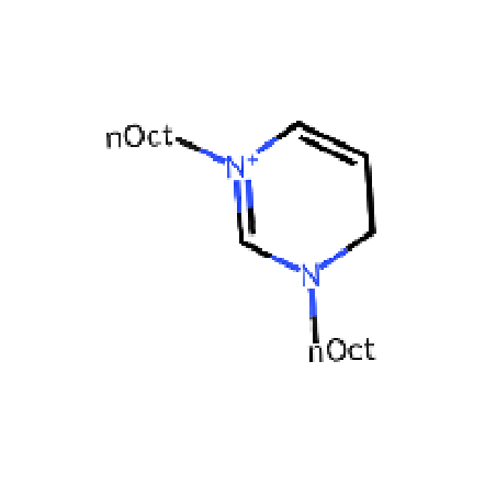 CCCCCCCCN1C=[N+](CCCCCCCC)C=CC1